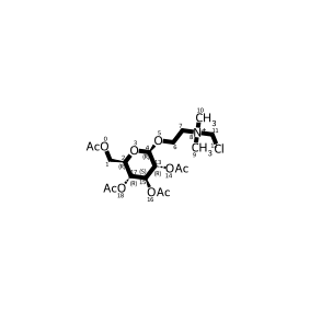 CC(=O)OC[C@H]1O[C@@H](OCC[N+](C)(C)CCl)[C@H](OC(C)=O)[C@@H](OC(C)=O)[C@@H]1OC(C)=O